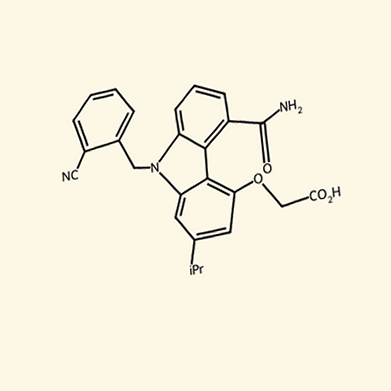 CC(C)c1cc(OCC(=O)O)c2c3c(C(N)=O)cccc3n(Cc3ccccc3C#N)c2c1